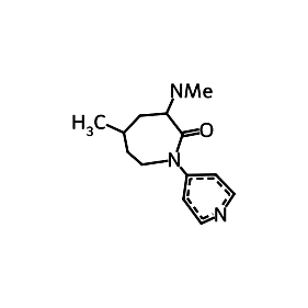 CNC1CC(C)CCN(c2ccncc2)C1=O